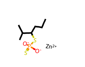 CCCC(SP([O-])([O-])=S)C(C)C.[Zn+2]